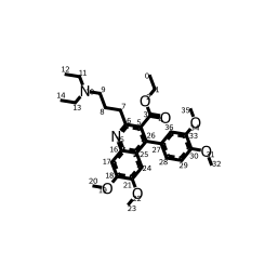 CCOC(=O)c1c(CCCN(CC)CC)nc2cc(OC)c(OC)cc2c1-c1ccc(OC)c(OC)c1